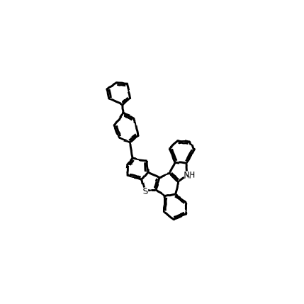 c1ccc(-c2ccc(-c3ccc4sc5c6ccccc6c6[nH]c7ccccc7c6c5c4c3)cc2)cc1